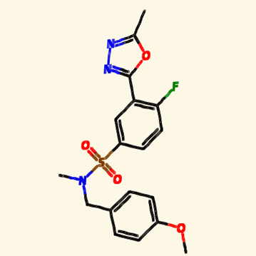 COc1ccc(CN(C)S(=O)(=O)c2ccc(F)c(-c3nnc(C)o3)c2)cc1